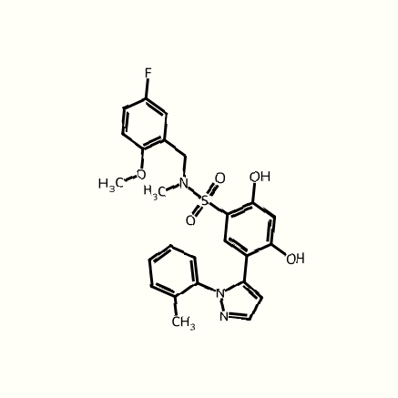 COc1ccc(F)cc1CN(C)S(=O)(=O)c1cc(-c2ccnn2-c2ccccc2C)c(O)cc1O